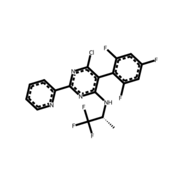 C[C@@H](Nc1nc(-c2ccccn2)nc(Cl)c1-c1c(F)cc(F)cc1F)C(F)(F)F